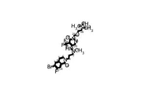 CN(CCCn1ccc2cc(Br)c(F)cc2c1=O)Nc1cnn(COCC[Si](C)(C)C)c(=O)c1C(F)(F)F